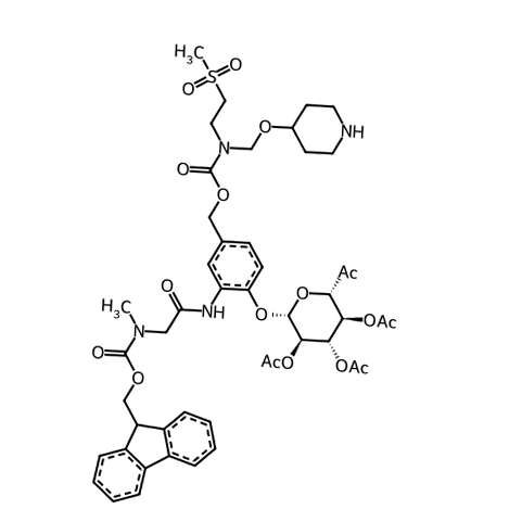 CC(=O)O[C@@H]1[C@@H](OC(C)=O)[C@H](Oc2ccc(COC(=O)N(CCS(C)(=O)=O)COC3CCNCC3)cc2NC(=O)CN(C)C(=O)OCC2c3ccccc3-c3ccccc32)O[C@H](C(C)=O)[C@H]1OC(C)=O